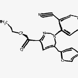 CCOC(=O)c1cc(-c2ccco2)n(-c2ccccc2C#N)n1